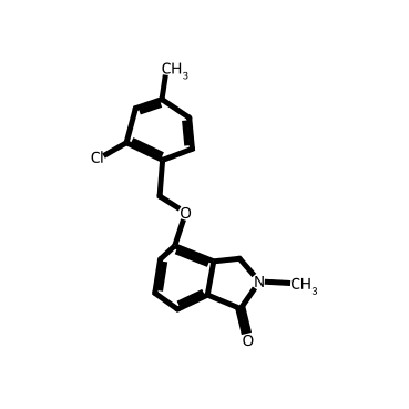 Cc1ccc(COc2cccc3c2CN(C)C3=O)c(Cl)c1